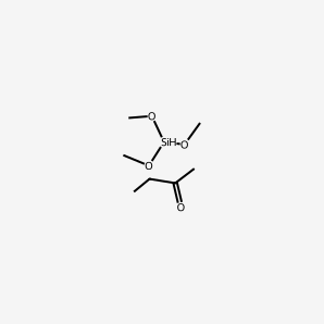 CCC(C)=O.CO[SiH](OC)OC